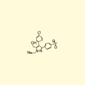 CS(=O)(=O)c1ccc(-c2nn(CC#N)c(CO)c2-c2ccc(Cl)cc2)cc1